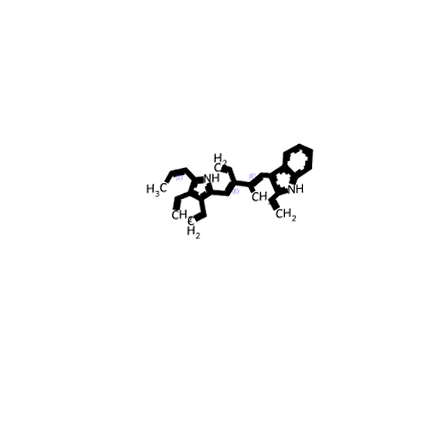 C=CC(=C\c1[nH]c(/C=C\C)c(C=C)c1C=C)/C(C)=C/c1c(C=C)[nH]c2ccccc12